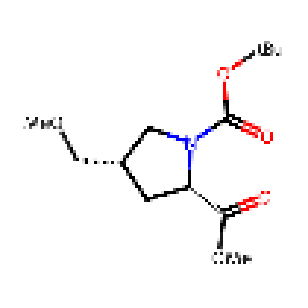 COC[C@H]1C[C@@H](C(=O)OC)N(C(=O)OC(C)(C)C)C1